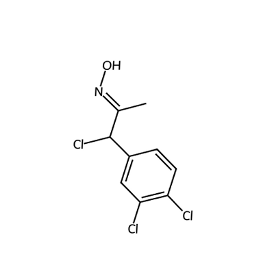 C/C(=N\O)C(Cl)c1ccc(Cl)c(Cl)c1